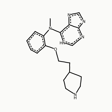 CN(c1ccccc1OCCC1CCNCC1)c1[nH]cnc2ncnc1-2